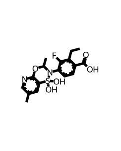 CCc1c(C(=O)O)ccc(N2C(C)Oc3ncc(C)cc3S2(O)O)c1F